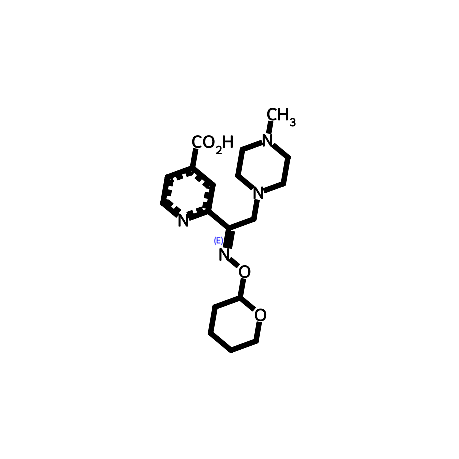 CN1CCN(C/C(=N\OC2CCCCO2)c2cc(C(=O)O)ccn2)CC1